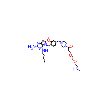 CCCCCNc1nc(N)nc2ccn(Cc3ccc(CN4CCN(C(=O)CCOCCOCCNC)CC4)cc3OC)c12